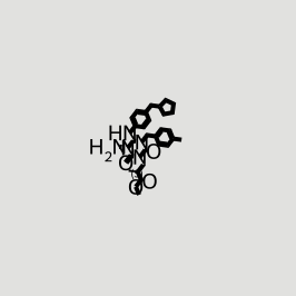 COC(=O)[C@@H](C)CN1C(=O)N(N)C(Nc2ccc(CC3CCCC3)cc2)N(Cc2ccc(C)cc2)C1=O